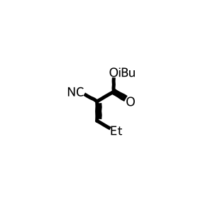 CCC=C(C#N)C(=O)OCC(C)C